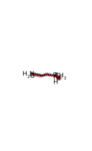 CC(NC(=O)CCCCCCCCC#CC#CCCCCCCCCC(N)=O)c1ccccc1